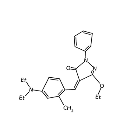 CCOC1=NN(c2ccccc2)C(=O)C1=Cc1ccc(N(CC)CC)cc1C